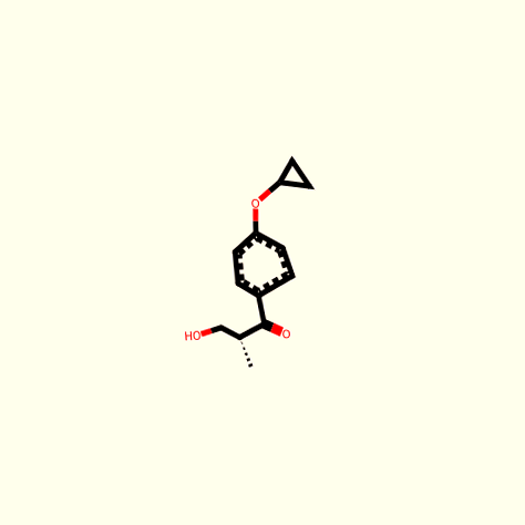 C[C@H](CO)C(=O)c1ccc(OC2CC2)cc1